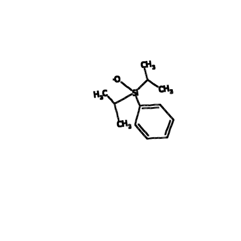 CC(C)[Si]([O])(c1ccccc1)C(C)C